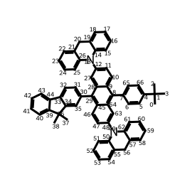 CC(C)(C)c1ccc(-c2c3ccc(N4c5ccccc5Cc5ccccc54)cc3c(-c3ccc4c(c3)C(C)(C)c3ccccc3-4)c3ccc(N4c5ccccc5Cc5ccccc54)cc23)cc1